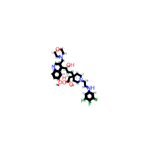 COc1ccc2ncc(CN3CCOCC3)c(C(O)CCC3(CC(=O)O)CCN(CCNc4cc(F)c(F)c(F)c4)CC3)c2c1